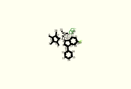 CC1=C(C)C(C)[C]([Zr+2]([CH]2C=C(c3ccccc3)c3cc(F)ccc32)=[Si](C)C)=C1C.[Cl-].[Cl-]